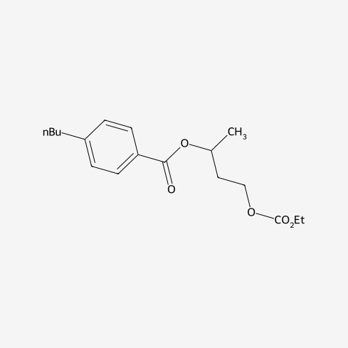 CCCCc1ccc(C(=O)OC(C)CCOC(=O)OCC)cc1